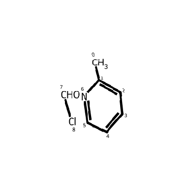 Cc1ccccn1.O=CCl